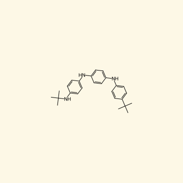 CC(C)(C)Nc1ccc(Nc2ccc(Nc3ccc(C(C)(C)C)cc3)cc2)cc1